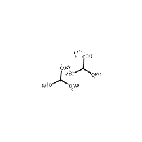 COC(OC)C(=O)[O-].COC(OC)C(=O)[O-].[Fe+2]